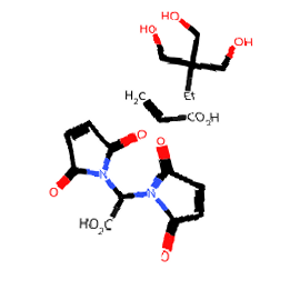 C=CC(=O)O.CCC(CO)(CO)CO.O=C(O)C(N1C(=O)C=CC1=O)N1C(=O)C=CC1=O